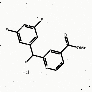 COC(=O)c1ccnc(C(F)c2cc(F)cc(F)c2)c1.Cl